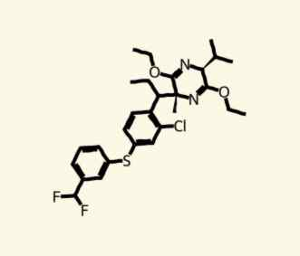 CCOC1=N[C@](C)(C(CC)c2ccc(Sc3cccc(C(F)F)c3)cc2Cl)C(OCC)=N[C@H]1C(C)C